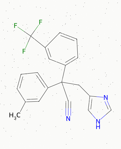 Cc1cccc(C(C#N)(Cc2c[nH]cn2)c2cccc(C(F)(F)F)c2)c1